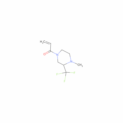 C=CC(=O)N1CCN(C)C(C(F)(F)F)C1